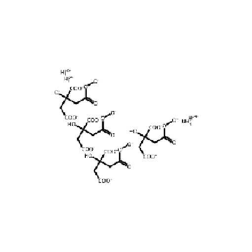 O=C([O-])CC(O)(CC(=O)O[O-])C(=O)[O-].O=C([O-])CC(O)(CC(=O)O[O-])C(=O)[O-].O=C([O-])CC(O)(CC(=O)O[O-])C(=O)[O-].O=C([O-])CC([O-])(CC(=O)O[O-])C(=O)[O-].[Hf+4].[Hf+4].[Hf+4].[NH4+]